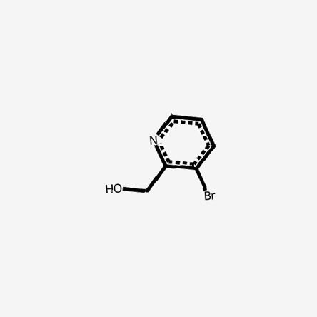 OCc1n[c]ccc1Br